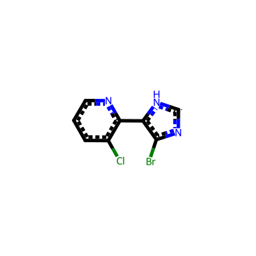 Clc1cccnc1-c1[nH][c]nc1Br